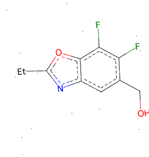 CCc1nc2cc(CO)c(F)c(F)c2o1